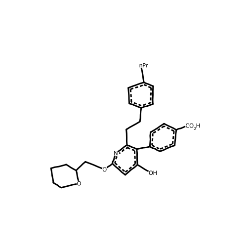 CCCc1ccc(CCc2nc(OCC3CCCCO3)cc(O)c2-c2ccc(C(=O)O)cc2)cc1